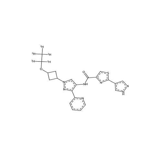 [2H]C([2H])([2H])C([2H])([2H])OC1CC(n2cc(NC(=O)c3csc(-c4cn[nH]c4)n3)c(-c3ccccn3)n2)C1